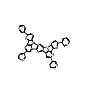 c1cncc(-c2ccc3c(n2)c2nc(-c4cccnc4)cc4c5cc6c7cc(-c8cccnc8)nc8c9nc(-c%10cccnc%10)ccc9n(c6cc5n3c42)c78)c1